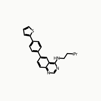 CC(C)CCNc1ncnc2ccc(-c3ccc(-c4cccs4)cc3)cc12